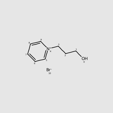 OCCC[n+]1ccccc1.[Br-]